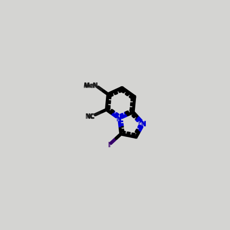 CNc1ccc2ncc(I)n2c1C#N